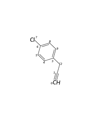 C#C[CH]c1ccc(Cl)cc1